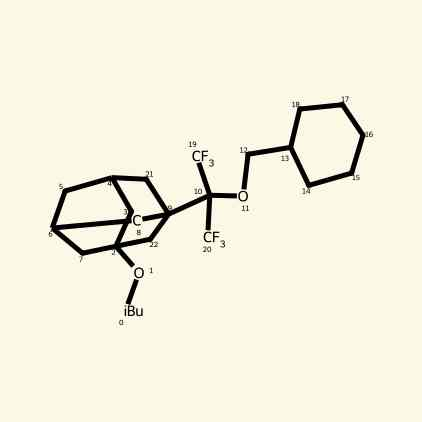 CCC(C)OC12CC3CC(C1)CC(C(OCC1CCCCC1)(C(F)(F)F)C(F)(F)F)(C3)C2